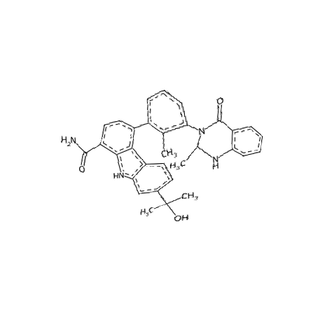 Cc1c(-c2ccc(C(N)=O)c3[nH]c4cc(C(C)(C)O)ccc4c23)cccc1N1C(=O)c2ccccc2NC1C